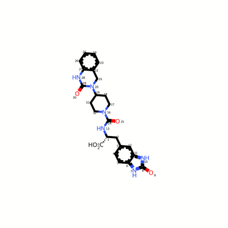 O=C(O)[C@@H](Cc1ccc2[nH]c(=O)[nH]c2c1)NC(=O)N1CCC(N2Cc3ccccc3NC2=O)CC1